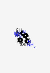 Cc1nnc2n(-c3ccc(C(C)(C)C)cc3)c3c4cc(-c5ccc(N)nc5)ccc4ncc3n12